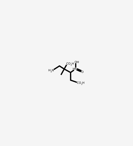 CC(CN)(C(=O)O)C(CC(=O)O)[PH](=O)O